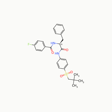 CC(C)(C)CS(=O)(=O)c1ccc(NC(=O)[C@H](Cc2ccccc2)NC(=O)c2ccc(F)cc2)cc1